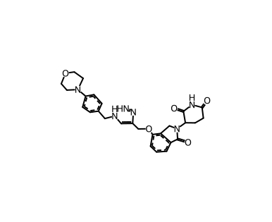 N=N/C(=C\NCc1ccc(N2CCOCC2)cc1)COc1cccc2c1CN(C1CCC(=O)NC1=O)C2=O